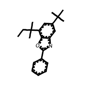 CCC(C)(C)c1cc(C(C)(C)C)cc2nc(-c3ccccc3)oc12